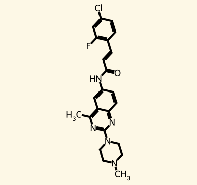 Cc1nc(N2CCN(C)CC2)nc2ccc(NC(=O)C=Cc3ccc(Cl)cc3F)cc12